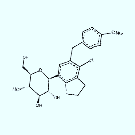 COc1ccc(Cc2cc([C@@H]3O[C@H](CO)[C@@H](O)[C@H](O)[C@H]3O)c3c(c2Cl)CCC3)cc1